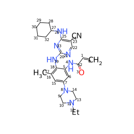 C=CC(=O)Nc1cc(N2CCN(CC)CC2)cc(C)c1Nc1ncc(C#N)c(NC2CCCCC2)n1